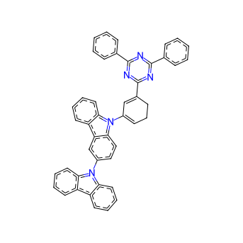 C1=C(c2nc(-c3ccccc3)nc(-c3ccccc3)n2)CCC=C1n1c2ccccc2c2cc(-n3c4ccccc4c4ccccc43)ccc21